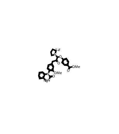 COC(=O)c1ccc(OC(C(=O)Cc2ccc(N(C(N)=O)c3ccccc3Br)c(OC)c2)N2CCC[C@@H]2F)cc1